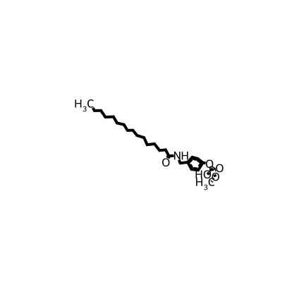 CCCCCCCCCCCCCCCC(=O)NCc1ccc(OP(=O)(O)OC)cc1